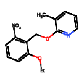 CCOc1cccc([N+](=O)[O-])c1COc1ncccc1C